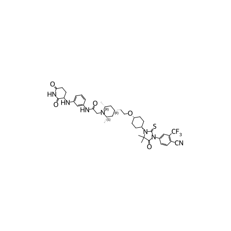 C[C@@H]1C[C@H](CCO[C@H]2CC[C@H](N3C(=S)N(c4ccc(C#N)c(C(F)(F)F)c4)C(=O)C3(C)C)CC2)C[C@H](C)N1CC(=O)Nc1cccc(NC2CCC(=O)NC2=O)c1